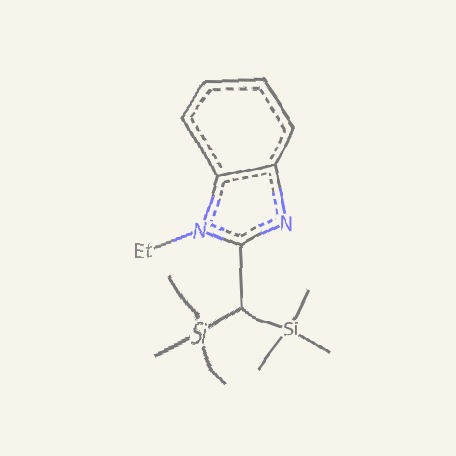 CCn1c(C([Si](C)(C)C)[Si](C)(C)C)nc2ccccc21